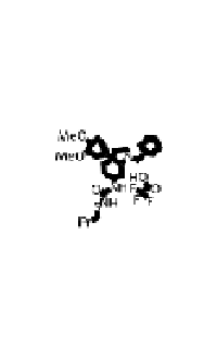 COc1ccc(C23CCC(NC(=O)NSCC(C)C)CC2N(Cc2ccccc2)CC3)cc1OC.O=C(O)C(F)(F)F